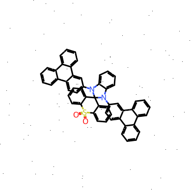 O=S1(=O)c2ccccc2C2(c3ccccc31)N(c1ccc3c4ccccc4c4ccccc4c3c1)c1ccccc1N2c1ccc2c3ccccc3c3ccccc3c2c1